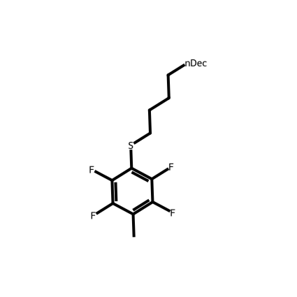 CCCCCCCCCCCCCCSc1c(F)c(F)c(C)c(F)c1F